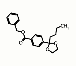 CCCCC1(c2ccc(C(=O)OCc3ccccc3)cc2)OCCO1